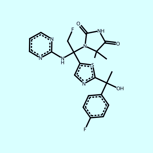 CC(O)(c1ccc(F)cc1)c1ncc(C(CF)(Nc2ncccn2)N2C(=O)NC(=O)C2(C)C)s1